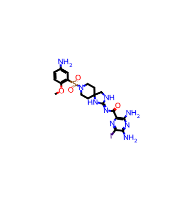 COc1ccc(N)cc1S(=O)(=O)N1CCC2(CC1)CN/C(=N\C(=O)c1nc(I)c(N)nc1N)N2